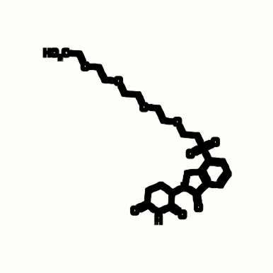 O=C(O)COCCOCCOCCOCCS(=O)(=O)c1cccc2c1CN(C1CCC(=O)NC1=O)C2=O